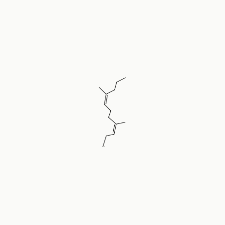 [CH2]CC=C(C)CCC=C(C)CCC